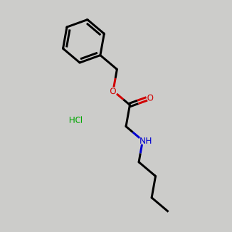 CCCCNCC(=O)OCc1ccccc1.Cl